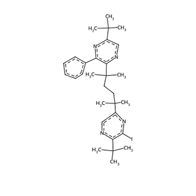 CC(C)(C)c1cnc(C(C)(C)CCC(C)(C)c2cnc(C(C)(C)C)c(I)n2)c(-c2ccccc2)n1